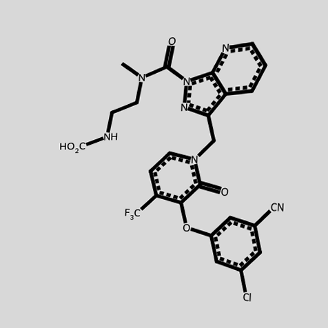 CN(CCNC(=O)O)C(=O)n1nc(Cn2ccc(C(F)(F)F)c(Oc3cc(Cl)cc(C#N)c3)c2=O)c2cccnc21